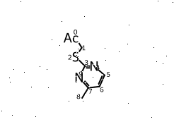 CC(=O)CSc1nccc(C)n1